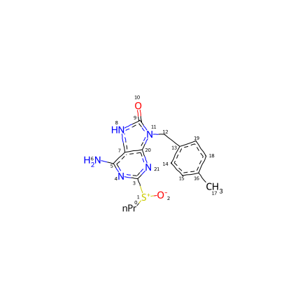 CCC[S+]([O-])c1nc(N)c2[nH]c(=O)n(Cc3ccc(C)cc3)c2n1